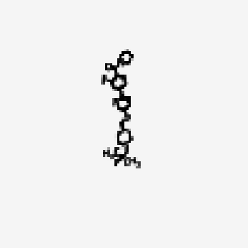 CC(C)(F)CN1CCC(COc2ccc(-c3ccc(C(=O)N4CCCC4)c(F)c3)nc2)CC1